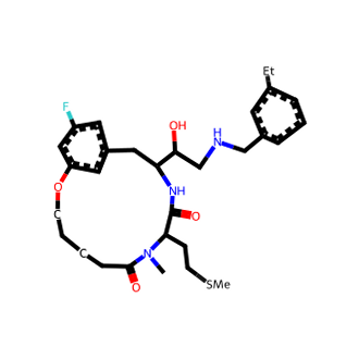 CCc1cccc(CNCC(O)C2Cc3cc(F)cc(c3)OCCCCC(=O)N(C)C(CCSC)C(=O)N2)c1